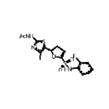 CC(=O)Nc1nc(C)c(C2CC=C(S(=O)(=O)Nc3ccccc3F)O2)s1